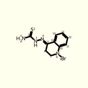 NC(=S)NN=C1CCN(Br)c2ccccc21